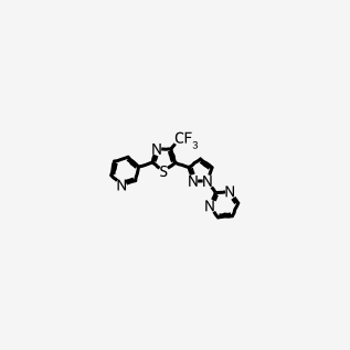 FC(F)(F)c1nc(-c2cccnc2)sc1-c1ccn(-c2ncccn2)n1